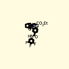 CCOC(=O)/C=C/[C@]1(O)CC2CCC(C1)[C@H]2S(=O)(=O)c1cc(C(=O)Nc2cc(F)c(F)c(F)c2)ccc1Cl